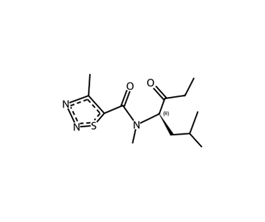 CCC(=O)[C@@H](CC(C)C)N(C)C(=O)c1snnc1C